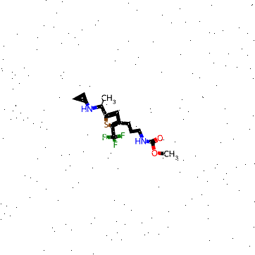 COC(=O)NCCCc1cc([C@@H](C)NC2CC2)sc1C(F)(F)F